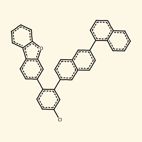 Clc1ccc(-c2ccc3c(c2)oc2ccccc23)c(-c2ccc3cc(-c4cccc5ccccc45)ccc3c2)c1